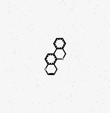 C1=COc2ccc3c(c2C1)OCc1ccccc1-3